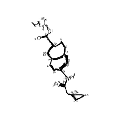 COC(=O)C1CCc2cc(NC(=O)C3CC3)ccc2C1